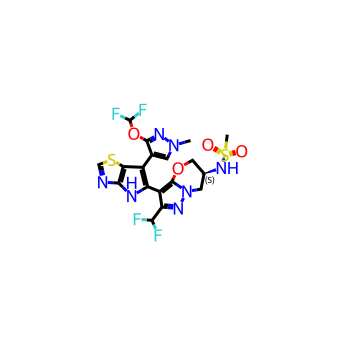 Cn1cc(-c2c(-c3c(C(F)F)nn4c3OC[C@@H](NS(C)(=O)=O)C4)[nH]c3ncsc23)c(OC(F)F)n1